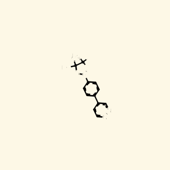 CC1(C)OB(c2ccc(-c3ccnnc3)cc2)OC1(C)C